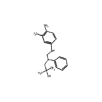 CC(O)(CC(CNc1ccc([N+](=O)[O-])c(C(F)(F)F)c1)c1ccccc1)C(F)(F)F